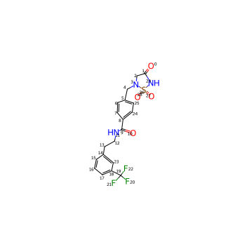 O=C1CN(Cc2ccc(C(=O)NCCc3cccc(C(F)(F)F)c3)cc2)S(=O)(=O)N1